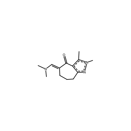 Cc1c2c(nn1C)CCC/C(=C\N(C)C)C2=O